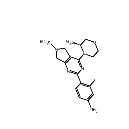 CCOC(=O)N1Cc2nc(-c3ccc(N)cc3F)nc(N3CCOC[C@@H]3C)c2C1